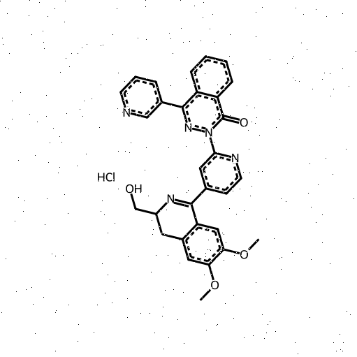 COc1cc2c(cc1OC)C(c1ccnc(-n3nc(-c4cccnc4)c4ccccc4c3=O)c1)=NC(CO)C2.Cl